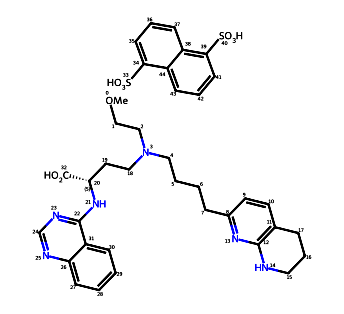 COCCN(CCCCc1ccc2c(n1)NCCC2)CC[C@H](Nc1ncnc2ccccc12)C(=O)O.O=S(=O)(O)c1cccc2c(S(=O)(=O)O)cccc12